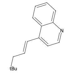 CC(C)(C)C/C=C/c1ccnc2ccccc12